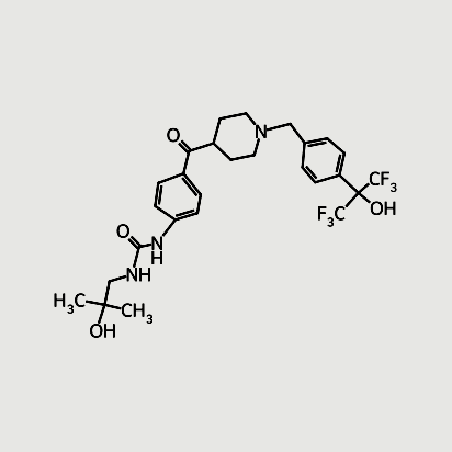 CC(C)(O)CNC(=O)Nc1ccc(C(=O)C2CCN(Cc3ccc(C(O)(C(F)(F)F)C(F)(F)F)cc3)CC2)cc1